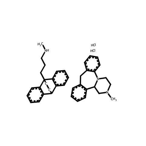 CN1CCN2c3ccccc3Cc3ccccc3C2C1.CNCCCC12CCC(c3ccccc31)c1ccccc12.Cl.Cl